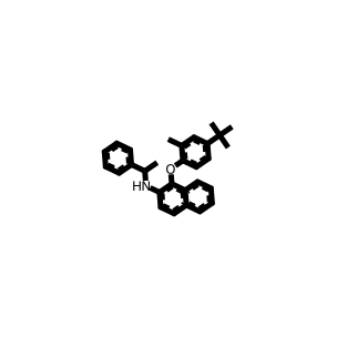 Cc1cc(C(C)(C)C)ccc1Oc1c(NC(C)c2ccccc2)ccc2ccccc12